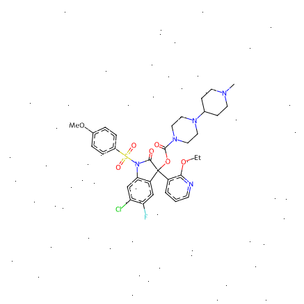 CCOc1ncccc1C1(OC(=O)N2CCN(C3CCN(C)CC3)CC2)C(=O)N(S(=O)(=O)c2ccc(OC)cc2)c2cc(Cl)c(F)cc21